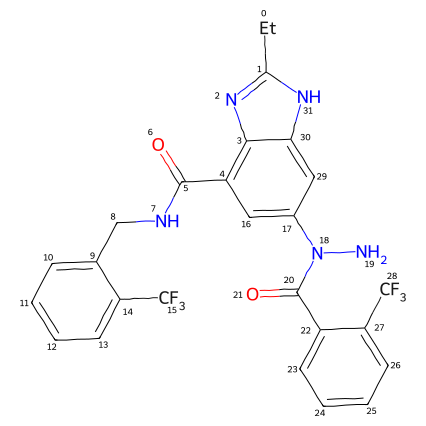 CCc1nc2c(C(=O)NCc3ccccc3C(F)(F)F)cc(N(N)C(=O)c3ccccc3C(F)(F)F)cc2[nH]1